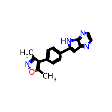 Cc1noc(C)c1-c1ccc(-c2cc3nccnc3[nH]2)cc1